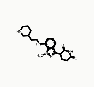 Cn1nc(C2CCC(=O)NC2=O)c2cccc(NCCC3CCCNC3)c21